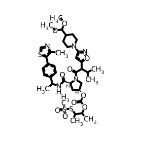 COC(OC)C1CCN(c2cc(C(C(=O)N3C[C@H](OC(=O)OC(C)C(C)SS(C)(=O)=O)C[C@H]3C(=O)NC(C)c3ccc(-c4scnc4C)cc3)C(C)C)on2)CC1